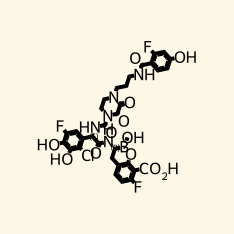 O=C(NCCCN1CCN(C(=O)N[C@H](C(=O)N[C@H]2Cc3ccc(F)c(C(=O)O)c3OB2O)c2cc(F)c(O)c(O)c2Cl)C(=O)C1=O)c1ccc(O)cc1F